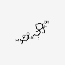 C[C@H](CNC(=O)C[C@](C)(O)C(F)(F)F)[C@H]1CC[C@H]2[C@@H](O)CCC[C@@]12C